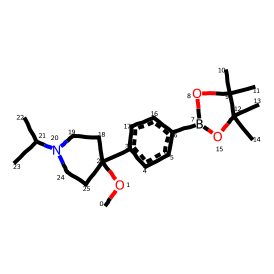 COC1(c2ccc(B3OC(C)(C)C(C)(C)O3)cc2)CCN(C(C)C)CC1